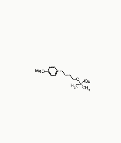 COc1ccc(CCCCO[Si](C)(C)C(C)(C)C)cc1